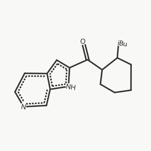 CCC(C)C1CCCCC1C(=O)c1cc2ccncc2[nH]1